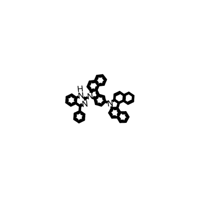 C1=CC2=C(C=CC3C2c2c(ccc4ccccc24)N3c2ccc3c(c2)c2c4ccccc4ccc2n3C2N=C(c3ccccc3)c3ccccc3N2)CC1